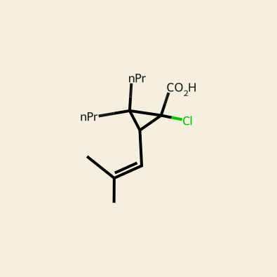 CCCC1(CCC)C(C=C(C)C)C1(Cl)C(=O)O